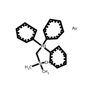 C[Si](C)(C)C[PH](c1ccccc1)(c1ccccc1)c1ccccc1.[Au]